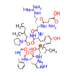 CC[C@H](C)[C@H](NC(=O)[C@H](Cc1ccc(O)cc1)NC(=O)[C@H](CCCNC(=N)N)NC(=O)[C@@H](N)CC(=O)O)C(=O)N1CCC[C@H]1C(=O)N[C@@H](Cc1ccccc1)C(=O)N[C@@H](Cc1c[nH]cn1)C(=O)N[C@@H](CC(C)C)C(=O)O